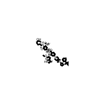 CCOc1nc2[nH]cc(F)c2cc1Oc1cc(N2CCC3(CC2)CN([C@H]2CCC[C@H]2c2ccccc2C2(C)CC2)C3)ccc1C(=O)NS(=O)(=O)c1cc2c(c([N+](=O)[O-])c1)N[C@@H]([C@H]1CC[C@](C)(O)CC1)CO2